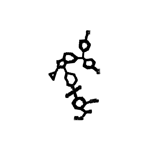 CNC(=O)c1ccc(S(=O)(=O)N2CCC(c3c4cc(C(c5ccc(Cl)cc5)c5ccc(Cl)cc5)ccc4nn3C3CC3)CC2)cc1OC